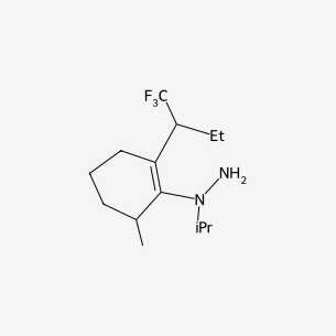 CCC(C1=C(N(N)C(C)C)C(C)CCC1)C(F)(F)F